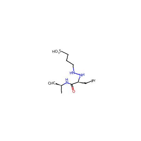 CC(C)C[C@H](NNCCCS(=O)(=O)O)C(=O)N[C@@H](C)C=O